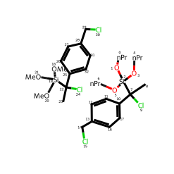 CCCO[Si](OCCC)(OCCC)C(C)(Cl)c1ccc(CCl)cc1.CO[Si](OC)(OC)C(C)(Cl)c1ccc(CCl)cc1